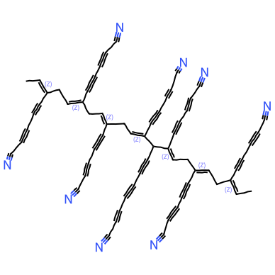 C/C=C(\C#CC#CC#N)C/C=C(\C#CC#CC#N)C/C=C(\C#CC#CC#N)C/C=C(\C#CC#CC#N)C(C#CC#CC#CC#N)/C(C#CC#CC#N)=C/C/C(C#CC#CC#N)=C/C/C(C#CC#CC#N)=C/C